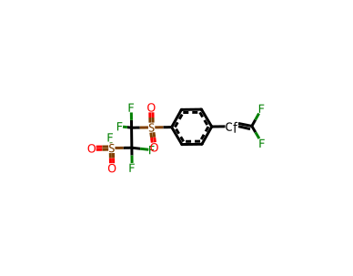 O=S(=O)(F)C(F)(F)C(F)(F)S(=O)(=O)c1cc[c]([Cf]=[C](F)F)cc1